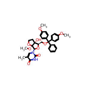 COc1ccc(C(OC[C@H]2O[C@@H](n3cc(C)c(=O)[nH]c3=O)[C@@]3(OC)OCC[C@@]23O)(c2ccccc2)c2ccc(OC)cc2)cc1